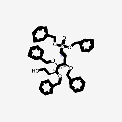 O=P(/C=C/[C@@H](OCc1ccccc1)[C@@H](OCc1ccccc1)[C@H](CCO)OCc1ccccc1)(OCc1ccccc1)OCc1ccccc1